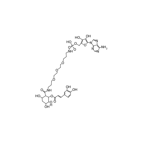 Nc1ncnc2c1ncn2-c1oc(COP(=O)(O)ONCCCOCCOCCOCCCNC(=O)C2C(O)CC(O)C(O)C2OC(=O)/C=C/c2ccc(O)c(O)c2)c(O)c1O